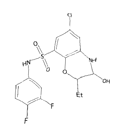 CCC1Oc2c(cc(Cl)cc2S(=O)(=O)Nc2ccc(F)c(F)c2)NC1O